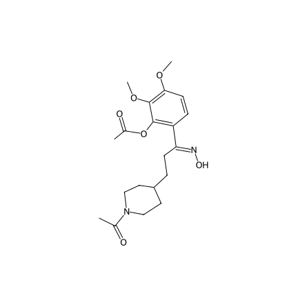 COc1ccc(C(CCC2CCN(C(C)=O)CC2)=NO)c(OC(C)=O)c1OC